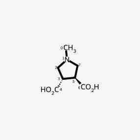 CN1C[C@@H](C(=O)O)[C@H](C(=O)O)C1